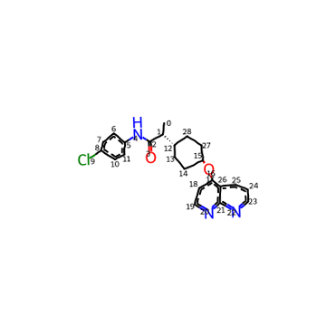 CC(C(=O)Nc1ccc(Cl)cc1)[C@H]1CC[C@H](Oc2ccnc3ncccc23)CC1